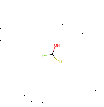 OC(F)S